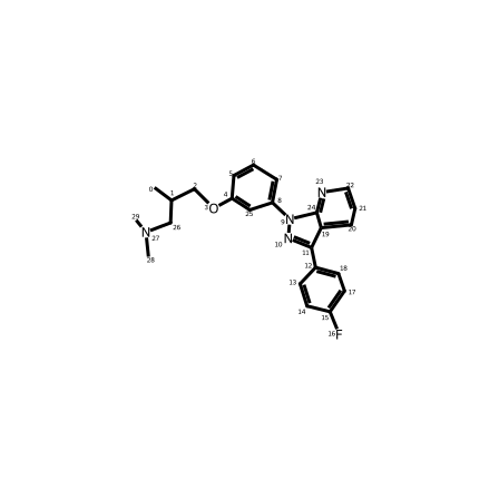 CC(COc1cccc(-n2nc(-c3ccc(F)cc3)c3cccnc32)c1)CN(C)C